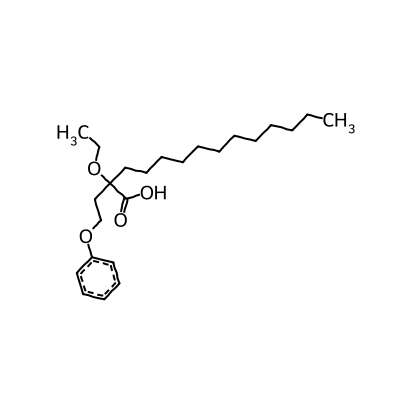 CCCCCCCCCCCCC(CCOc1ccccc1)(OCC)C(=O)O